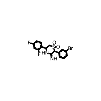 N=C1NC(c2ccc(F)cc2F)CS(=O)(=O)C1c1cccc(Br)c1